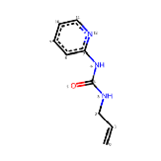 C=CCNC(=O)Nc1ccccn1